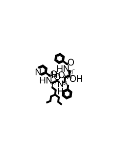 CCCC(CCC)CC[C@@H](NC(=O)c1cccnc1)C(=O)N[C@@H](Cc1ccccc1)[C@@H](O)[C@H](O)[C@@H](C)NC(=O)c1ccccc1